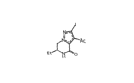 CCC1Cn2nc(I)c(C(C)=O)c2C(=O)N1